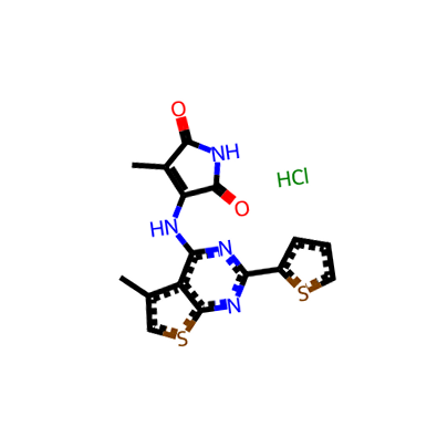 CC1=C(Nc2nc(-c3cccs3)nc3scc(C)c23)C(=O)NC1=O.Cl